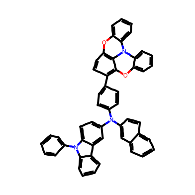 c1ccc(-n2c3ccccc3c3cc(N(c4ccc(-c5ccc6c7c5Oc5ccccc5N7c5ccccc5O6)cc4)c4ccc5ccccc5c4)ccc32)cc1